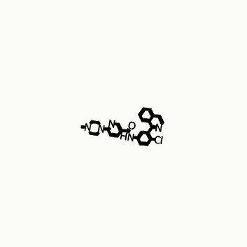 CN1CCN(c2ccc(C(=O)Nc3ccc(Cl)c(-c4nccc5ccccc45)c3)cn2)CC1